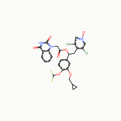 O=C(Cn1c(=O)[nH]c(=O)c2ccccc21)OC(Cc1c(Cl)c[n+]([O-])cc1Cl)c1ccc(OC(F)F)c(OCC2CC2)c1